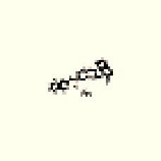 Cl.Cl.O=c1ccc2ncc(F)c3c2n1C(CN1CCC(NCc2cc4c(cn2)OCCO4)CC1)CC3